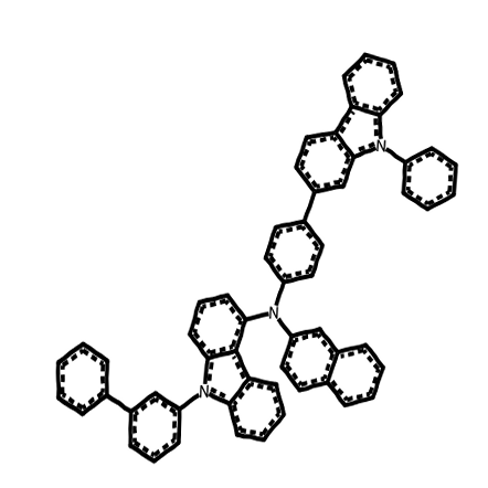 c1ccc(-c2cccc(-n3c4ccccc4c4c(N(c5ccc(-c6ccc7c8ccccc8n(-c8ccccc8)c7c6)cc5)c5ccc6ccccc6c5)cccc43)c2)cc1